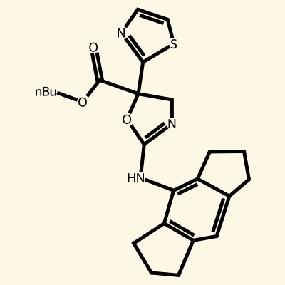 CCCCOC(=O)C1(c2nccs2)CN=C(Nc2c3c(cc4c2CCC4)CCC3)O1